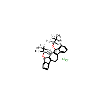 CCCC(C)(C)[Si](C)(C)O[C@@H]1[C]2=C(CCC3=[C]([Hf+2]2)[C@H](O[Si](C)(C)C(C)(C)CCC)c2ccccc23)c2ccccc21.[Cl-].[Cl-]